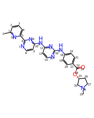 Cc1cccc(-c2nccc(Nc3ccnc(Nc4ccc(C(=O)O[C@H]5CCN(C)C5)cc4)n3)n2)n1